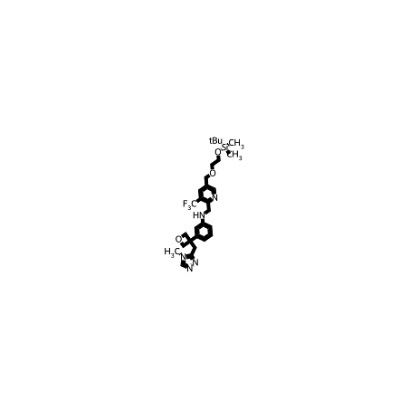 Cn1cnnc1CC1(c2cccc(NCc3ncc(COCCO[Si](C)(C)C(C)(C)C)cc3C(F)(F)F)c2)COC1